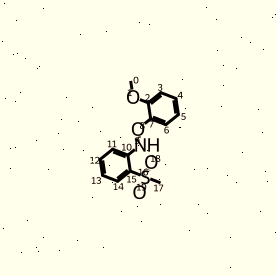 COc1ccccc1ONc1ccccc1S(C)(=O)=O